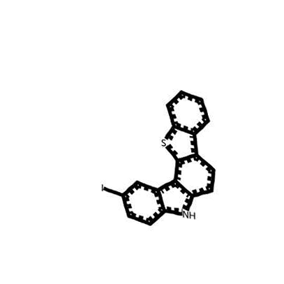 Ic1ccc2[nH]c3ccc4c5ccccc5sc4c3c2c1